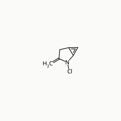 C=C1CC2=C=C2N1Cl